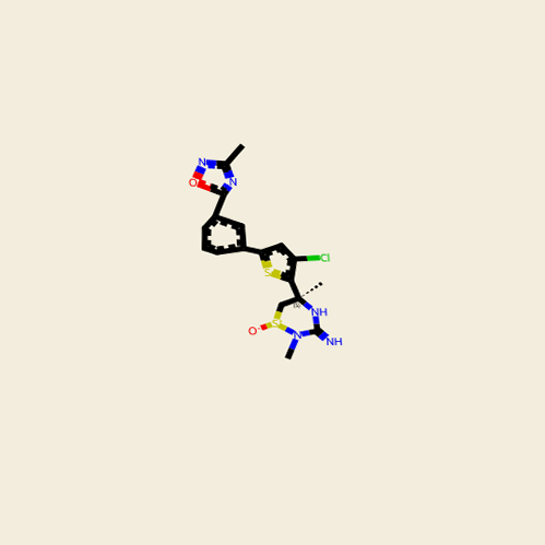 Cc1noc(-c2cccc(-c3cc(Cl)c([C@]4(C)C[S+]([O-])N(C)C(=N)N4)s3)c2)n1